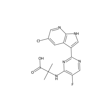 CC(C)(Nc1nc(-c2c[nH]c3ncc(Cl)cc23)ncc1F)C(=O)O